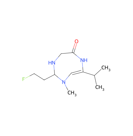 CC(C)/C1=C\N(C)C(CCF)NCC(=O)N1